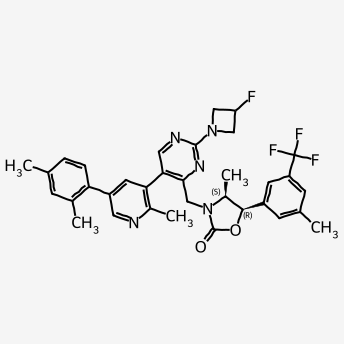 Cc1cc([C@H]2OC(=O)N(Cc3nc(N4CC(F)C4)ncc3-c3cc(-c4ccc(C)cc4C)cnc3C)[C@H]2C)cc(C(F)(F)F)c1